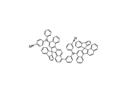 N#Cc1ccc(N(c2ccccc2)c2cc3c(c4ccccc24)-c2ccc4c(-c5cccc(N(c6cccc(C#N)c6)c6cc7c(c8ccccc68)-c6ccc8ccccc8c6C76c7ccccc7-c7ccccc76)c5)cccc4c2C32c3ccccc3-c3ccccc32)cc1